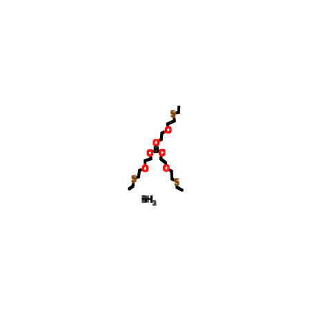 B.CCSCCOCCOB(OCCOCCSCC)OCCOCCSCC